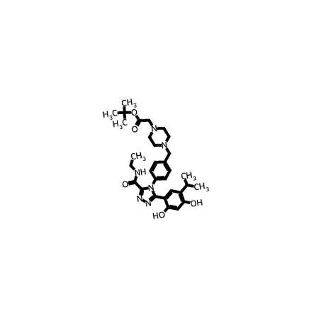 CCNC(=O)c1nnc(-c2cc(C(C)C)c(O)cc2O)n1-c1ccc(CN2CCN(CC(=O)OC(C)(C)C)CC2)cc1